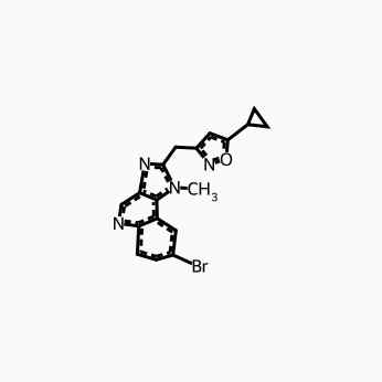 Cn1c(Cc2cc(C3CC3)on2)nc2cnc3ccc(Br)cc3c21